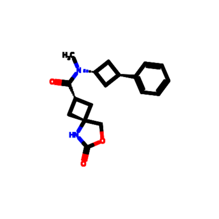 CN(C(=O)[C@H]1C[C@]2(COC(=O)N2)C1)[C@H]1C[C@H](c2ccccc2)C1